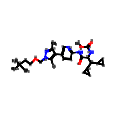 CCc1c(-c2ccc(NC(=O)C(NC(=O)OC(C)(C)C)C(C3CC3)C3CC3)nc2)c(C)nn1COCC[Si](C)(C)C